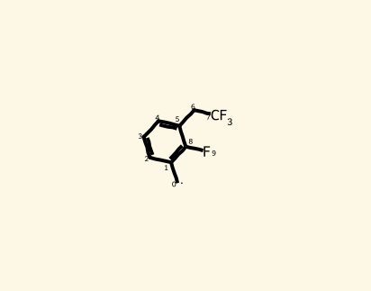 [CH2]c1cccc(CC(F)(F)F)c1F